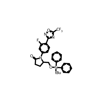 CC(C)(C)[Si](OCC1CCC(=O)N1c1ccc(-c2noc(C(F)(F)F)n2)c(F)c1)(c1ccccc1)c1ccccc1